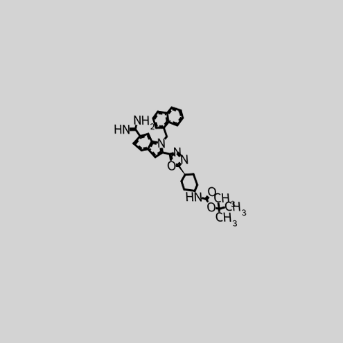 CC(C)(C)OC(=O)N[C@H]1CC[C@H](c2nnc(-c3cc4ccc(C(=N)N)cc4n3Cc3cccc4ccccc34)o2)CC1